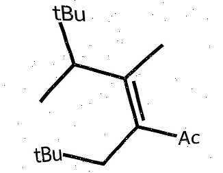 CC(=O)/C(CC(C)(C)C)=C(\C)C(C)C(C)(C)C